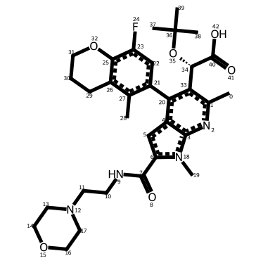 Cc1nc2c(cc(C(=O)NCCN3CCOCC3)n2C)c(-c2cc(F)c3c(c2C)CCCO3)c1[C@H](OC(C)(C)C)C(=O)O